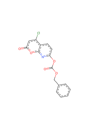 O=C(OCc1ccccc1)Oc1ccc2c(Cl)cc(=O)oc2n1